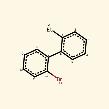 CCc1ccccc1-c1ccccc1Br